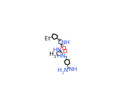 CCc1cccc([C@H]2CN[C@@H](C(=O)N[C@@H](C)C(=O)NCc3ccc(C(=N)N)cc3)C2)c1